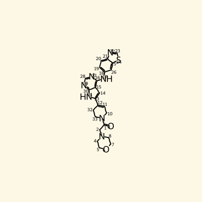 O=C(CN1CCOCC1)N1CC=C(c2cc3c(Nc4ccc5ncsc5c4)ncnc3[nH]2)CC1